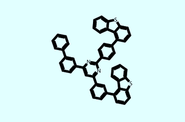 c1ccc(-c2cccc(-c3cc(-c4cccc(-c5cccc6sc7ccccc7c56)c4)nc(-c4ccc(-c5cccc6sc7ccccc7c56)cc4)n3)c2)cc1